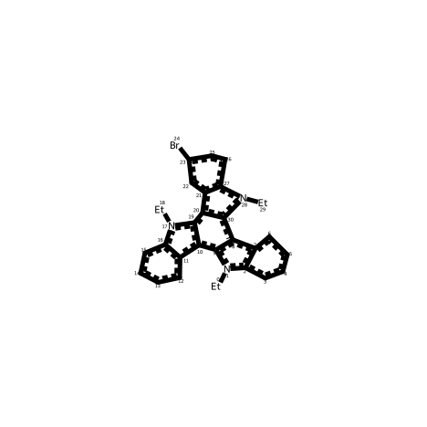 CCn1c2ccccc2c2c1c1c3ccccc3n(CC)c1c1c3cc(Br)ccc3n(CC)c21